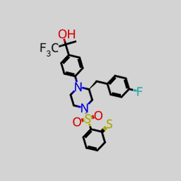 CC(O)(c1ccc(N2CCN(S(=O)(=O)C3=CC=CCC3=S)C[C@@H]2Cc2ccc(F)cc2)cc1)C(F)(F)F